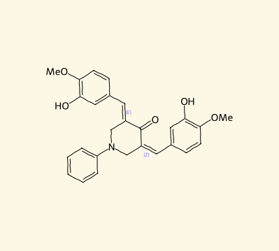 COc1ccc(/C=C2/CN(c3ccccc3)C/C(=C\c3ccc(OC)c(O)c3)C2=O)cc1O